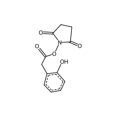 O=C(Cc1ccccc1O)ON1C(=O)CCC1=O